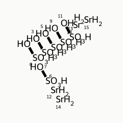 O=S(=O)(O)O.O=S(=O)(O)O.O=S(=O)(O)O.O=S(=O)(O)O.O=S(=O)(O)O.O=S(=O)(O)O.[SrH2].[SrH2].[SrH2].[SrH2]